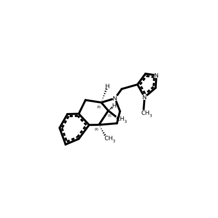 C[C@@H]1[C@H]2Cc3ccccc3[C@]1(C)CCN2Cc1cncn1C